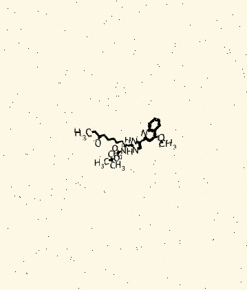 CCC(=O)CCCCC[C@H](NC(=O)OC(C)(C)C)c1ncc(-c2cc(OC)c3ccccc3n2)[nH]1